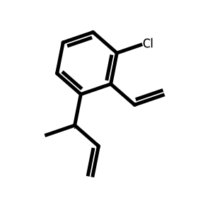 C=C[C](C)c1cccc(Cl)c1C=C